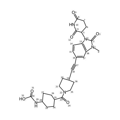 Cn1c(=O)n(C2CCC(=O)NC2=O)c2ccc(C#CC3CCN(C(=O)C4CCC(NC(=O)O)CC4)CC3)cc21